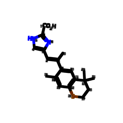 CC(=Cc1c[nH]c(C(=O)O)n1)c1cc2c(cc1C)SCCC2(C)C